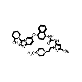 CC1CCCCN1c1nnc2ccc(O[C@@H]3CC[C@H](NC(=O)Nc4cc(C(C)(C)C)nn4CCN4CCN(C)CC4)c4ccccc43)cn12